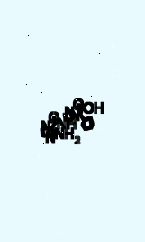 Nc1nccnc1C(=O)Nc1cnn(C(C(=O)O)c2ccccc2)c1